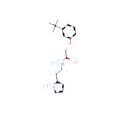 CC(C)(C)c1cccc(OCC(=O)NCCc2ccc[nH]2)c1